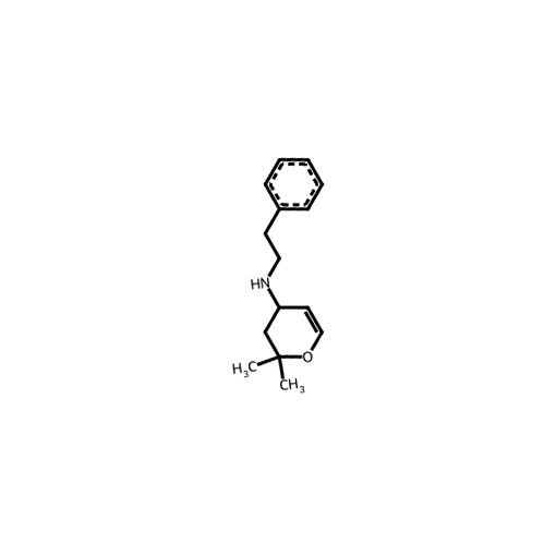 CC1(C)CC(NCCc2ccccc2)C=CO1